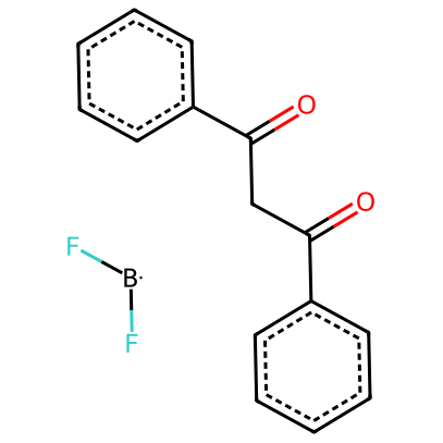 F[B]F.O=C(CC(=O)c1ccccc1)c1ccccc1